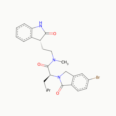 CC(C)C[C@@H](C(=O)N(C)CC[C@H]1C(=O)Nc2ccccc21)N1Cc2cc(Br)ccc2C1=O